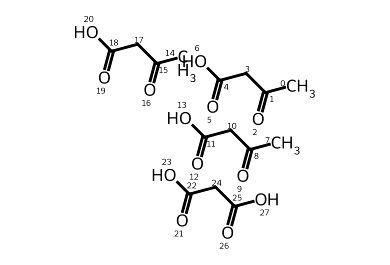 CC(=O)CC(=O)O.CC(=O)CC(=O)O.CC(=O)CC(=O)O.O=C(O)CC(=O)O